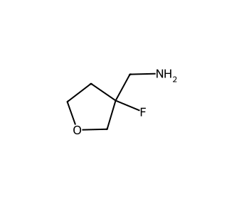 NCC1(F)CCOC1